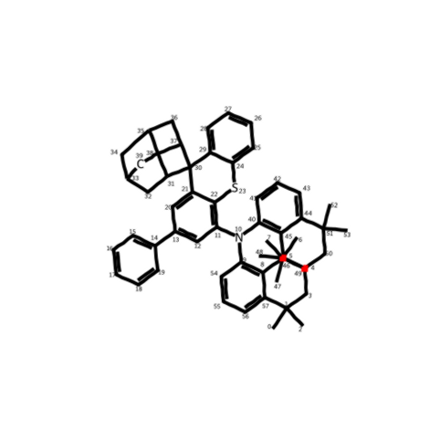 CC1(C)CCC(C)(C)c2c(N(c3cc(-c4ccccc4)cc4c3Sc3ccccc3C43C4CC5CC6CC3C64C5)c3cccc4c3C(C)(C)CCC4(C)C)cccc21